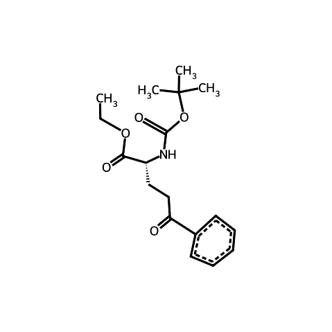 CCOC(=O)[C@@H](CCC(=O)c1ccccc1)NC(=O)OC(C)(C)C